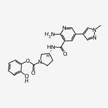 Cn1cc(-c2cnc(N)c(C(=O)N[C@@H]3CCN(C(=O)Oc4ccccc4O)C3)c2)cn1